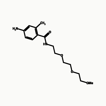 COCCOCCOCCNC(=O)c1ccc(N)cc1C